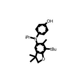 Cc1c(N(c2ccc(O)cc2)C(C)C)cc2c(c1C(C)(C)C)OCC2(C)C